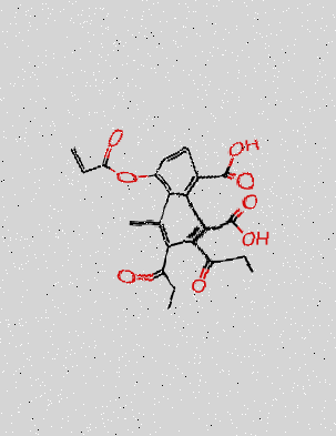 C=CC(=O)Oc1ccc(C(=O)O)c2c(C(=O)O)c(C(=O)CC)c(C(=O)CC)c(C)c12